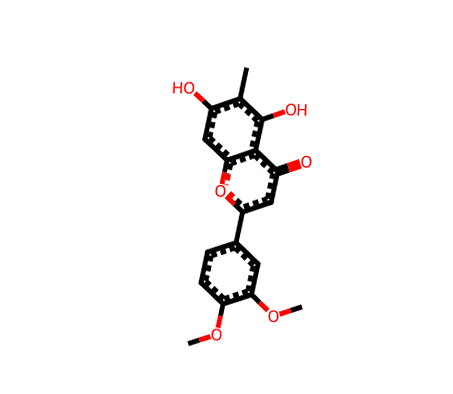 COc1ccc(-c2cc(=O)c3c(O)c(C)c(O)cc3o2)cc1OC